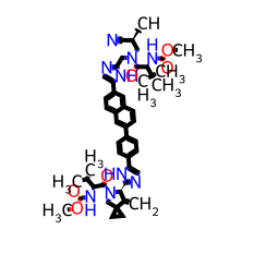 C#C[C@H](C#N)CN(Cc1ncc(-c2ccc3cc(-c4ccc(-c5cnc([C@@H]6C(=C)C7(CC7)CN6C(=O)[C@@H](NC(=O)OC)C(C)C)[nH]5)cc4)ccc3c2)[nH]1)C(=O)[C@@H](NC(=O)OC)C(C)(C)C